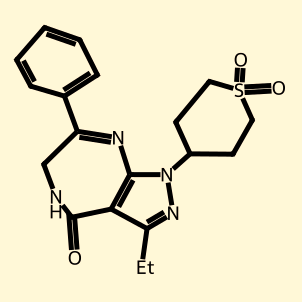 CCc1nn(C2CCS(=O)(=O)CC2)c2c1C(=O)NCC(c1ccccc1)=N2